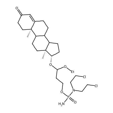 CCOC(CCOP(N)(=O)N(CCCl)CCCl)O[C@H]1CCC2C3CCC4=CC(=O)CC[C@]4(C)C3CC[C@@]21C